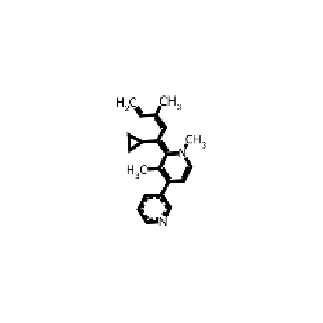 C=C/C(C)=C\C(=C1\C(C)=C(c2cccnc2)C=CN1C)C1CC1